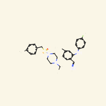 Cc1cc(Nc2ccc(F)cc2)c(C=N)cc1[C@H]1CN(S(=O)(=O)Cc2ccc(C#N)cc2)CCN1CC(C)C